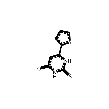 O=c1cc(-c2cccs2)[nH]c(=S)[nH]1